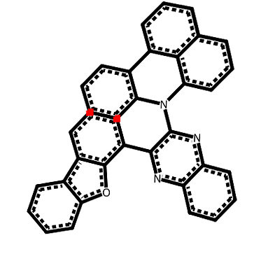 c1ccc2c(c1)-c1cccc3cccc(c13)N2c1nc2ccccc2nc1-c1cccc2c1oc1ccccc12